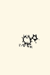 CCCC1CCCCCC(C2CBCC2C)CCC1S